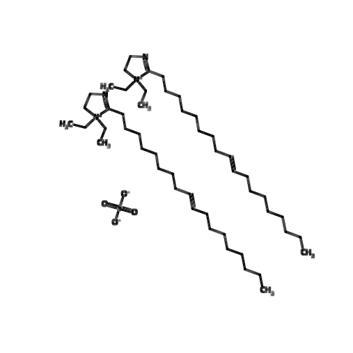 CCCCCCCCC=CCCCCCCCCC1=NCC[N+]1(CC)CC.CCCCCCCCC=CCCCCCCCCC1=NCC[N+]1(CC)CC.O=S(=O)([O-])[O-]